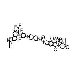 COc1c2c(cc3c1C(=O)N(C1CCC(=O)NC1=O)C3=O)CN(CC(=O)N1CCC3(CC1)CCN(c1cc(F)c([C@@H]4c5ccc6[nH]ncc6c5C[C@@H](C)N4CC(F)F)c(F)c1)CC3)C2